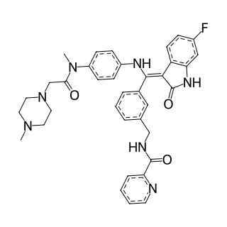 CN1CCN(CC(=O)N(C)c2ccc(NC(=C3C(=O)Nc4cc(F)ccc43)c3cccc(CNC(=O)c4ccccn4)c3)cc2)CC1